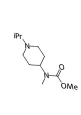 COC(=O)N(C)C1CCN(C(C)C)CC1